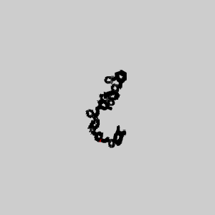 Cc1ccc(OCCc2ccc(CN3CCN(C(=O)C=Cc4cc(C)c(Oc5ccc(OCc6ccccc6Cl)cn5)c(Cl)c4)CC3)cc2)cc1C